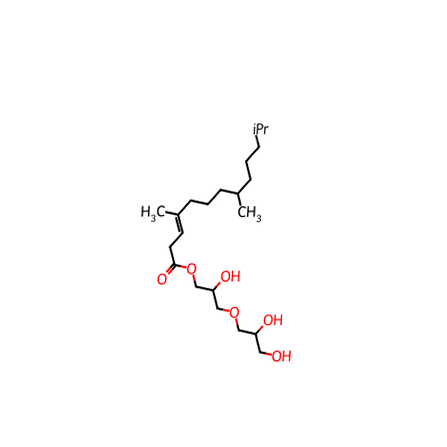 CC(=CCC(=O)OCC(O)COCC(O)CO)CCCC(C)CCCC(C)C